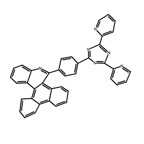 c1ccc(-c2nc(-c3ccc(-c4nc5ccccc5c5c6ccccc6c6ccccc6c45)cc3)nc(-c3ccccn3)n2)nc1